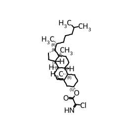 CC(C)CCC[C@@H](C)[C@H]1CC[C@H]2[C@@H]3CC=C4C[C@@H](OC(=O)C(=N)Cl)CC[C@]4(C)[C@H]3CC[C@]12C